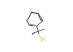 CC(C)(S)C1=CCCC=C1